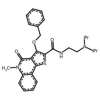 CC(C)N(CCNC(=O)c1sc2c(c1OCc1ccccc1)c(=O)n(C)c1ccccc21)C(C)C